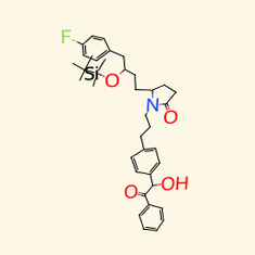 CC(C)(C)[Si](C)(C)OC(CCC1CCC(=O)N1CCCc1ccc(C(O)C(=O)c2ccccc2)cc1)Cc1ccc(F)cc1